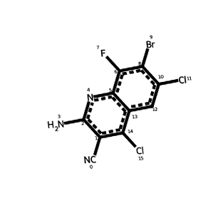 N#Cc1c(N)nc2c(F)c(Br)c(Cl)cc2c1Cl